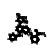 NC(=O)c1ccccc1N.O=C1C=C(c2ccc(Nc3ccccc3)c3ccccc23)C(=O)N1